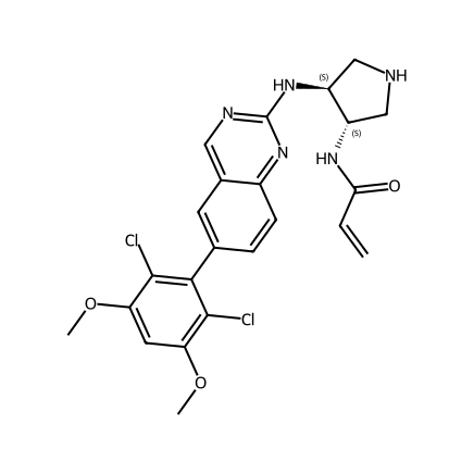 C=CC(=O)N[C@H]1CNC[C@@H]1Nc1ncc2cc(-c3c(Cl)c(OC)cc(OC)c3Cl)ccc2n1